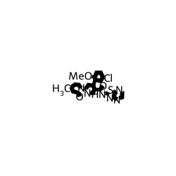 COc1ccc(Cl)cc1-c1cc(-n2ccc(C)cc2=O)ncc1C(=O)Nc1nc2nccnc2s1